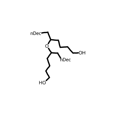 CCCCCCCCCCCC(CCCCO)OC(CCCCO)CCCCCCCCCCC